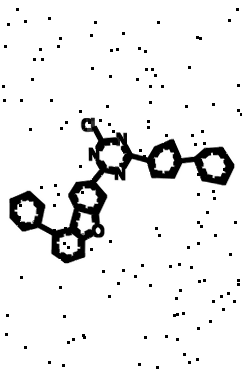 Clc1nc(-c2ccc(-c3ccccc3)cc2)nc(-c2ccc3c(c2)oc2cccc(-c4ccccc4)c23)n1